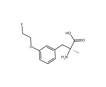 C[C@](N)(Cc1cccc(OCCF)c1)C(=O)O